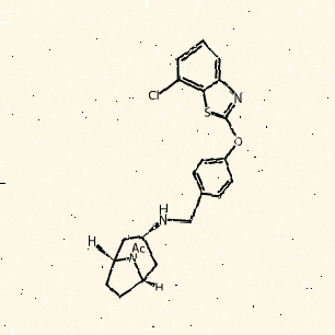 CC(=O)N1[C@@H]2CC[C@H]1C[C@H](NCc1ccc(Oc3nc4cccc(Cl)c4s3)cc1)C2